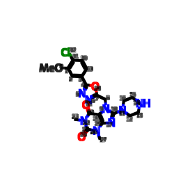 COc1cc(-c2nnc(Cn3c(N4CCNCC4)nc4c3c(=O)n(C)c(=O)n4C)o2)ccc1Cl